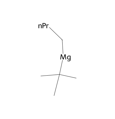 CCC[CH2][Mg][C](C)(C)C